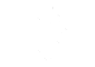 C=C(C)[C@H](NC(=O)c1ccnc(NC(C)=O)c1)C(=O)N[C@@H](C)C(=O)N[C@H](C(=O)C(=O)NC1CCCCC1)C(C)C